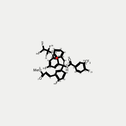 COC(=O)C=Cc1cc([C@@](Cc2ccccc2)(NC(=O)c2ccc(F)c(C(F)(F)F)c2)c2cc(F)cc(OC(F)(F)C(F)F)c2)ccc1F